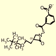 CC(C)(C)[Si](C)(C)OCC[C@H]1CN(SC(=O)c2cccc([N+](=O)[O-])c2)C1=O